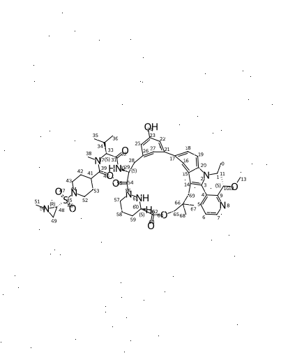 CCn1c(-c2cccnc2[C@H](C)OC)c2c3cc(ccc31)-c1cc(O)cc(c1)C[C@H](NC(=O)[C@H](C(C)C)N(C)C(=O)C1CCN(S(=O)(=O)[C@@H]3CN3C)CC1)C(=O)N1CCC[C@H](N1)C(=O)OCC(C)(C)C2